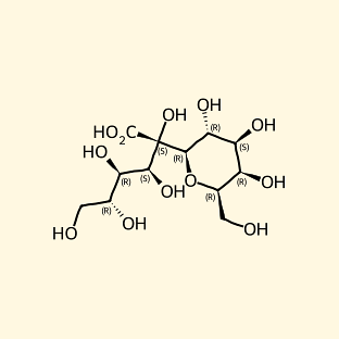 O=C(O)[C@@](O)([C@@H]1O[C@H](CO)[C@H](O)[C@H](O)[C@H]1O)[C@@H](O)[C@H](O)[C@H](O)CO